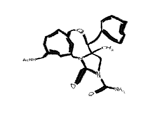 CC(=O)Nc1ccc2c(c1)N1C(=O)N(C(N)=O)CC1(C)C(c1ccccc1)O2